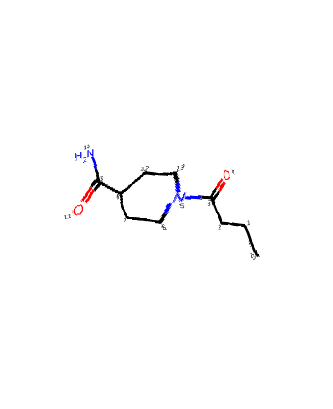 CCCC(=O)N1CCC(C(N)=O)CC1